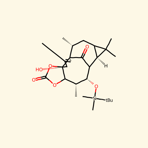 CC1=C[C@@]23C(=O)C([C@H]4C(C[C@H]2C)C4(C)C)[C@H](O[Si](C)(C)C(C)(C)C)[C@H](C)C2OC(=O)OC23[C@H]1O